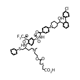 CN(CCOC(=O)CSCC(=O)O)CCC(CSc1ccccc1)Nc1ccc(S(=O)(=O)NC(=O)c2ccc(N3CCC(C(O)c4ccccc4-c4ccc(Cl)cc4)CC3)cc2)cc1S(=O)(=O)C(F)(F)F